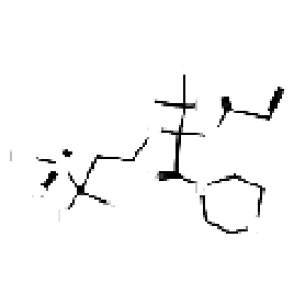 C=CC(=O)OC(OCCC(F)(F)S(=O)(=O)O)(C(=O)N1CCOCC1)C(F)(F)F